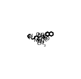 COc1c(S(=O)(=O)Nc2noc3cc(Cn4cccn4)nc(OC)c23)ccc2c1CCCC2